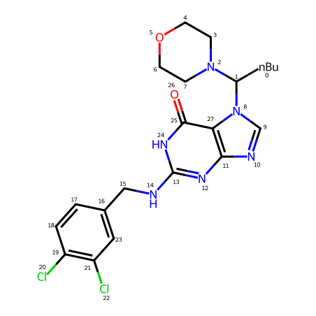 CCCCC(N1CCOCC1)n1cnc2nc(NCc3ccc(Cl)c(Cl)c3)[nH]c(=O)c21